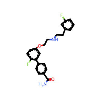 NC(=O)c1ccc(-c2cc(OCCNCCc3cccc(F)c3)ccc2F)cc1